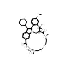 COc1ccc2c(c1)[C@@H]1C[C@]13Cn1c-2c(C2CCCCC2)c2ccc(cc21)C(=O)NS(=O)(=O)N(C)CCOCCN(C)C3=O